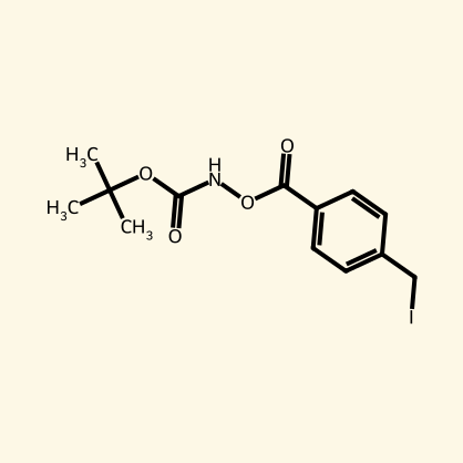 CC(C)(C)OC(=O)NOC(=O)c1ccc(CI)cc1